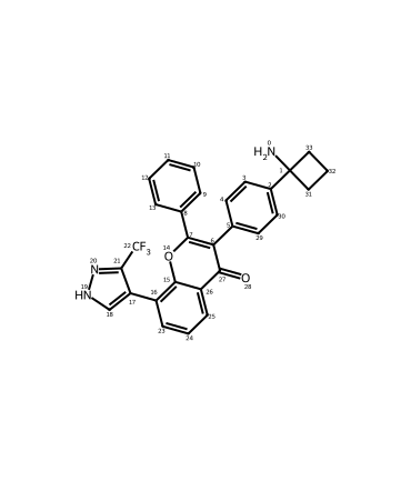 NC1(c2ccc(-c3c(-c4ccccc4)oc4c(-c5c[nH]nc5C(F)(F)F)cccc4c3=O)cc2)CCC1